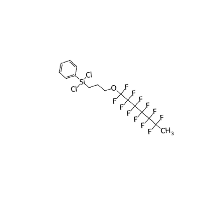 CC(F)(F)C(F)(F)C(F)(F)C(F)(F)C(F)(F)C(F)(F)OCCC[Si](Cl)(Cl)c1ccccc1